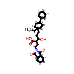 CCC1(CCC(O)C(CCN2C(=O)c3ccccc3C2=O)C(=O)O)C=CC(c2ccccc2)=CC1